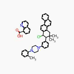 Cc1ccccc1N1CCN(c2cccc(C3C(Cl)c4ccc5c(ccc6ccccc65)c4CC3(C)C)c2)CC1.O=C(O)c1cccc2cccnc12